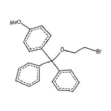 COc1ccc(C(OCCBr)(c2ccccc2)c2ccccc2)cc1